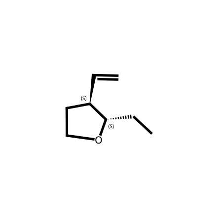 C=C[C@@H]1CCO[C@H]1CC